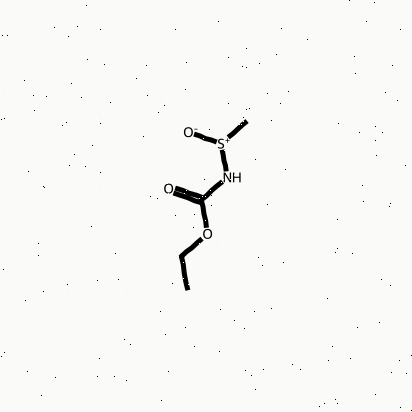 CCOC(=O)N[S+](C)[O-]